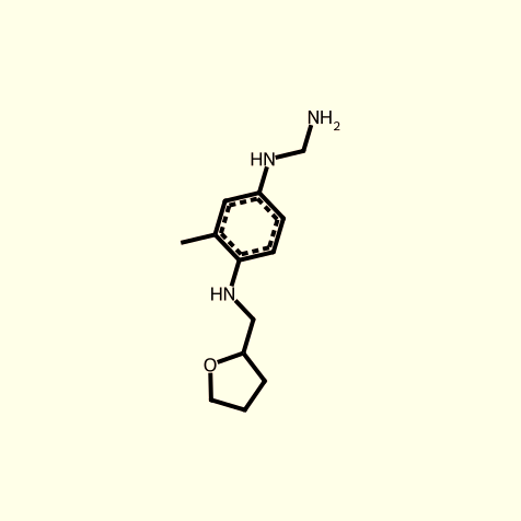 Cc1cc(NCN)ccc1NCC1CCCO1